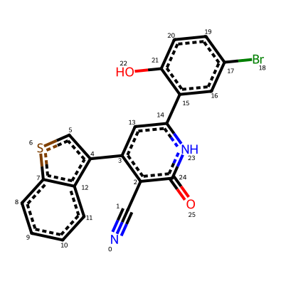 N#Cc1c(-c2csc3ccccc23)cc(-c2cc(Br)ccc2O)[nH]c1=O